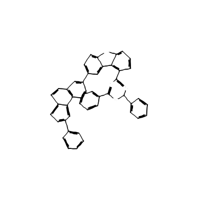 c1ccc(C2=NC(c3cccc4oc5ccc(-c6ccc7c(ccc8ccc(-c9ccccc9)cc87)c6)cc5c34)=NC(c3ccccc3)N2)cc1